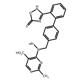 CCCN(Cc1ccc(-c2ccccc2-c2nc(=S)o[nH]2)cc1)c1nc(C)ncc1C(=O)O